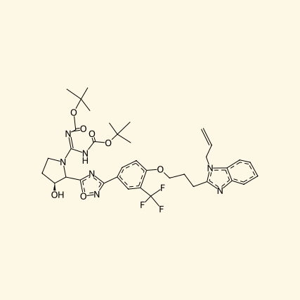 C=CCn1c(CCCOc2ccc(-c3noc(C4[C@@H](O)CCN4/C(=N/C(=O)OC(C)(C)C)NC(=O)OC(C)(C)C)n3)cc2C(F)(F)F)nc2ccccc21